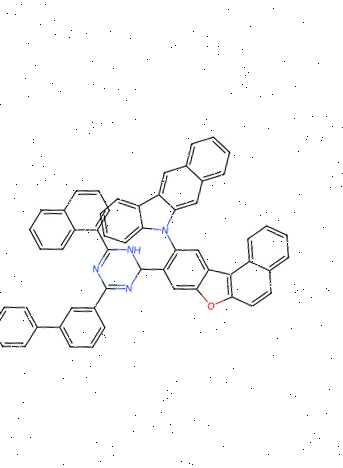 c1ccc(-c2cccc(C3=NC(c4cc5oc6ccc7ccccc7c6c5cc4-n4c5ccccc5c5cc6ccccc6cc54)NC(c4cccc5ccccc45)=N3)c2)cc1